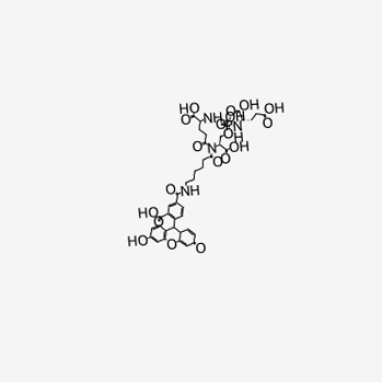 N[C@@H](CCC(=O)N(C(=O)CCCCCNC(=O)c1ccc(C2c3ccc(O)cc3OC3=CC(=O)C=CC32)c(C(=O)O)c1)[C@@H](COP(=O)(O)N[C@@H](CCC(=O)O)C(=O)O)C(=O)O)C(=O)O